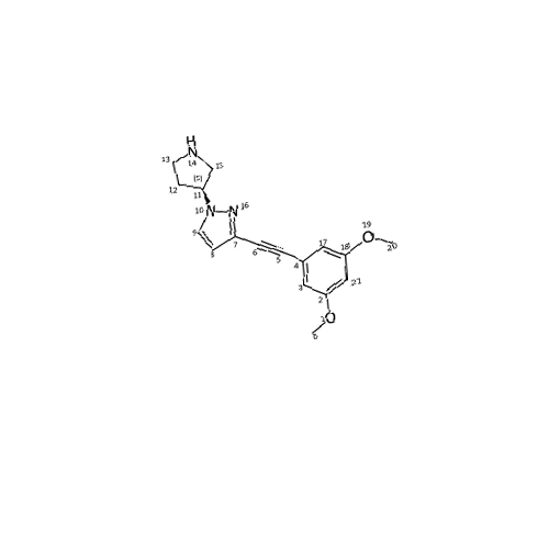 COc1cc(C#Cc2ccn([C@H]3CCNC3)n2)cc(OC)c1